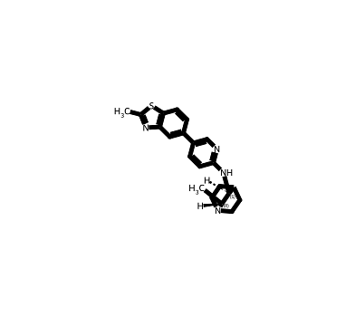 Cc1nc2cc(-c3ccc(N[C@H]4C5CCN(CC5)[C@@H]4C)nc3)ccc2s1